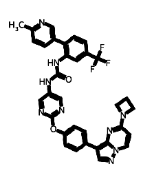 Cc1ccc(-c2ccc(C(F)(F)F)cc2NC(=O)Nc2cnc(Oc3ccc(-c4cnn5ccc(N6CCC6)nc45)cc3)nc2)cn1